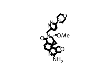 COC[C@H](C1CC1)N(Cc1ccc(N2CCOCC2)nn1)C(=O)c1ccc2nc(N)c3c(c2c1)COC3